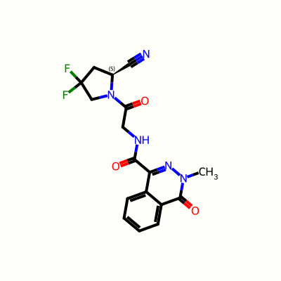 Cn1nc(C(=O)NCC(=O)N2CC(F)(F)C[C@H]2C#N)c2ccccc2c1=O